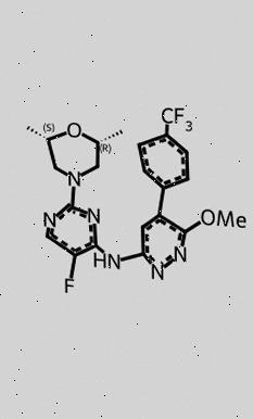 COc1nnc(Nc2nc(N3C[C@@H](C)O[C@@H](C)C3)ncc2F)cc1-c1ccc(C(F)(F)F)cc1